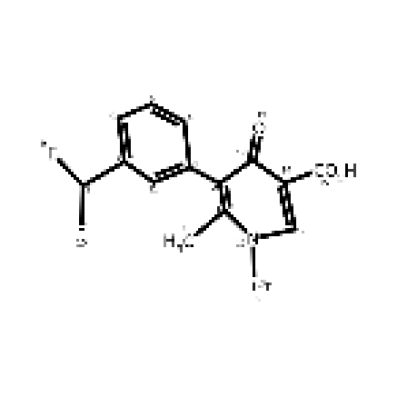 Cc1c(-c2cccc(C(F)F)c2)c(=O)c(C(=O)O)cn1C(C)C